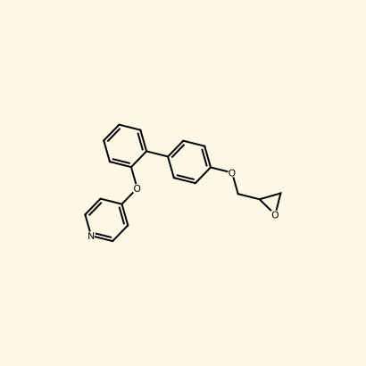 c1ccc(-c2ccc(OCC3CO3)cc2)c(Oc2ccncc2)c1